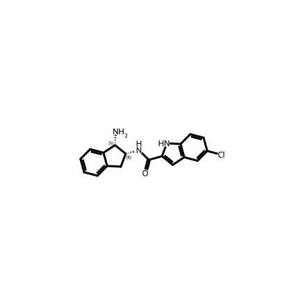 N[C@H]1c2ccccc2C[C@H]1NC(=O)c1cc2cc(Cl)ccc2[nH]1